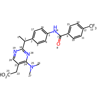 CC(c1ccc(NC(=O)c2ccc(C(F)(F)F)cc2)cc1)c1ncc(CC(=O)O)c(N(C)C)n1